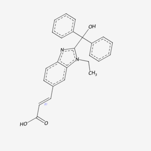 CCn1c(C(O)(c2ccccc2)c2ccccc2)nc2ccc(/C=C/C(=O)O)cc21